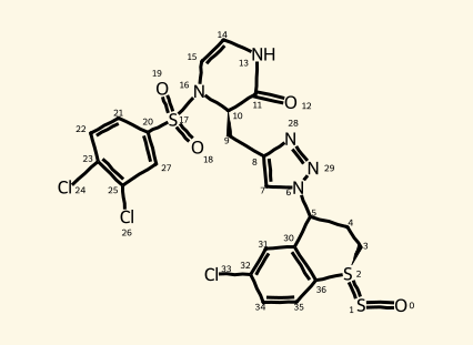 O=S=[S@@]1CCC(n2cc(C[C@@H]3C(=O)NC=CN3S(=O)(=O)c3ccc(Cl)c(Cl)c3)nn2)c2cc(Cl)ccc21